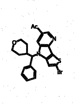 CC(=O)c1cnc2c3sc(Br)cc3n(C(c3ccccc3)C3CCOCC3)c2c1